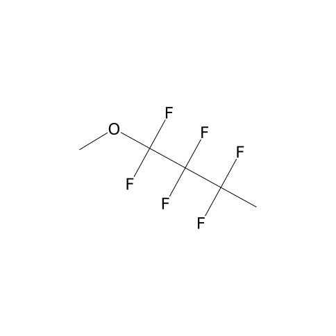 COC(F)(F)C(F)(F)C(C)(F)F